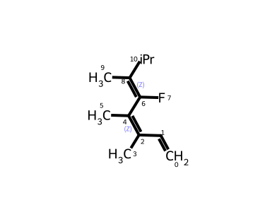 C=C/C(C)=C(C)\C(F)=C(/C)C(C)C